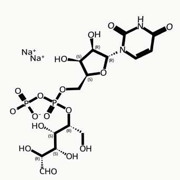 O=C[C@H](O)[C@@H](O)[C@H](O)[C@@H](CO)OP(=O)(OC[C@@H]1O[C@@H](n2ccc(=O)[nH]c2=O)[C@H](O)[C@@H]1O)OP(=O)([O-])[O-].[Na+].[Na+]